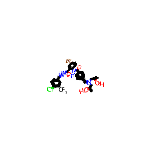 CC(O)CN(Cc1ccc(C(=O)Nc2ccc(Br)cc2C(=O)NN=Cc2ccc(Cl)c(C(F)(F)F)c2)cc1)CC(C)O